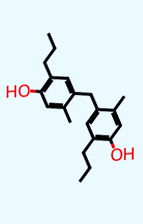 CCCc1cc(Cc2cc(CCC)c(O)cc2C)c(C)cc1O